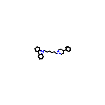 c1ccc(C2CCN(CCCCCCn3c4ccccc4c4ccccc43)CC2)cc1